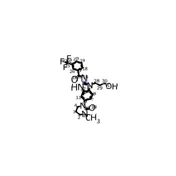 CN1CCCN(c2ccc3c(c2)[nH]/c(=N\C(=O)c2cccc(C(F)(F)F)c2)n3CCCO)C1=O